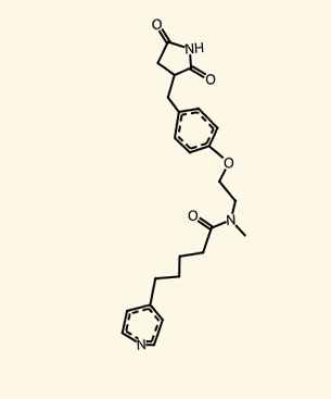 CN(CCOc1ccc(CC2CC(=O)NC2=O)cc1)C(=O)CCCCc1ccncc1